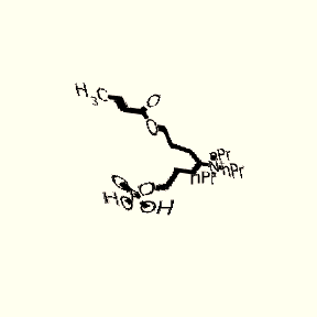 CC=CC(=O)OCCCC(CCCOP(=O)(O)O)[N+](CCC)(CCC)CCC